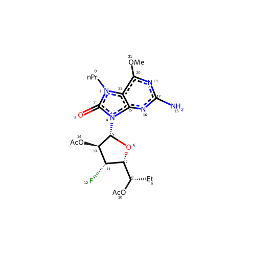 CCCn1c(=O)n([C@@H]2O[C@H]([C@H](CC)OC(C)=O)[C@H](F)[C@H]2OC(C)=O)c2nc(N)nc(OC)c21